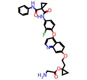 NCC(=O)OC1(CCOc2ccc3c(Oc4ccc(NC(=O)C5(C(=O)Nc6ccccc6)CC5)cc4F)ccnc3c2)CC1